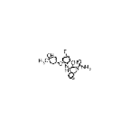 CC1=C(Nc2ccc(F)cc2OC2CCC(C)(C)CC2)c2ccsc2CN1C(N)=O